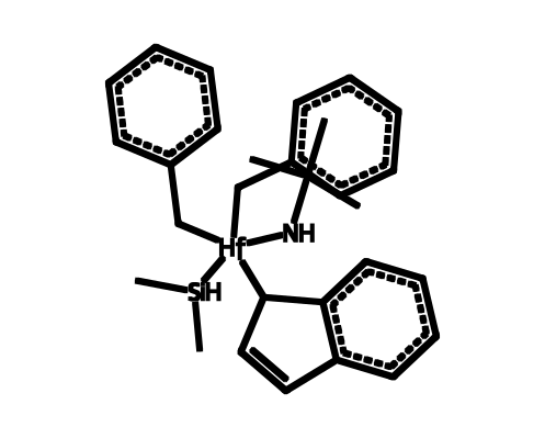 C[SiH](C)[Hf]([CH2]c1ccccc1)([CH2]c1ccccc1)([NH]C(C)(C)C)[CH]1C=Cc2ccccc21